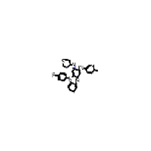 Cc1ccc(Nc2cc3nc4c(n(-c5ccc(F)cc5)c-3c/c2=N\C2CCSCC2)=CCCC=4)cn1